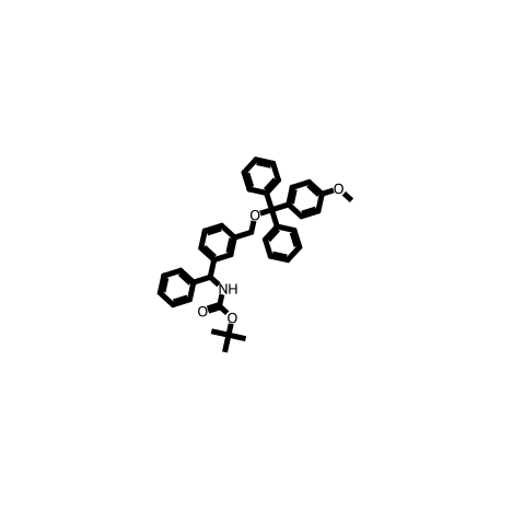 COc1ccc(C(OCc2cccc(C(NC(=O)OC(C)(C)C)c3ccccc3)c2)(c2ccccc2)c2ccccc2)cc1